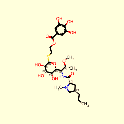 CCC[C@@H]1C[C@@H](C(=O)N[C@@H]([C@H]2O[C@H](SCCOC(=O)c3cc(O)c(O)c(O)c3)[C@H](O)[C@@H](O)[C@H]2O)[C@@H](C)OC)N(C)C1